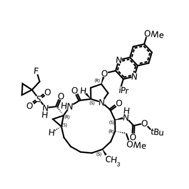 COC[C@@H]1C[C@@H](C)CCCC[C@H]2C[C@@]2(C(=O)NS(=O)(=O)C2(CF)CC2)NC(=O)[C@@H]2C[C@@H](Oc3nc4cc(OC)ccc4nc3C(C)C)CN2C(=O)[C@H]1NC(=O)OC(C)(C)C